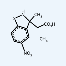 C.CC1(CC(=O)O)NSc2ccc([N+](=O)[O-])cc21